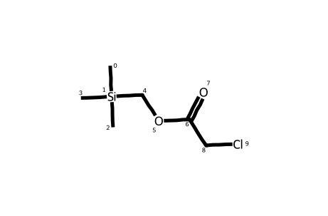 C[Si](C)(C)COC(=O)CCl